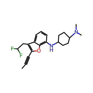 CC#Cc1oc2c(NC3CCC(N(C)C)CC3)cccc2c1CC(F)F